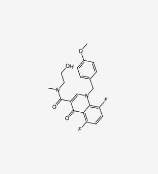 COc1ccc(Cn2cc(C(=O)N(C)CCO)c(=O)c3c(F)ccc(F)c32)cc1